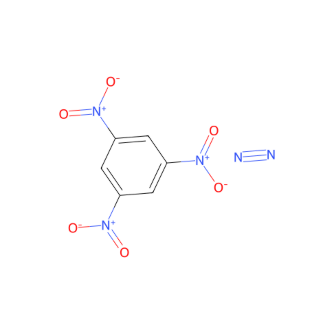 N#N.O=[N+]([O-])c1cc([N+](=O)[O-])cc([N+](=O)[O-])c1